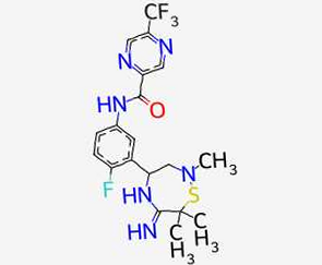 CN1CC(c2cc(NC(=O)c3cnc(C(F)(F)F)cn3)ccc2F)NC(=N)C(C)(C)S1